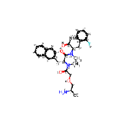 CCC(N)COCC(=O)N(C)[C@H](Cc1ccc2ccccc2c1)C(=O)N(C)[C@H](Cc1ccccc1F)C(=O)NC